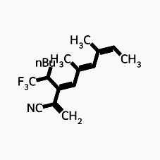 C=C(C#N)/C(=C/C(C)=C/C(C)=C\C)C(CCCC)C(F)(F)F